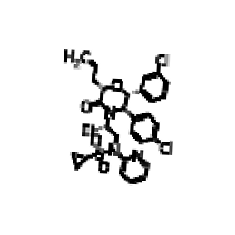 C=CC[C@H]1O[C@H](c2cccc(Cl)c2)[C@@H](c2ccc(Cl)cc2)N([C@@H](CC)CN(c2ccccn2)S(=O)(=O)C2CC2)C1=O